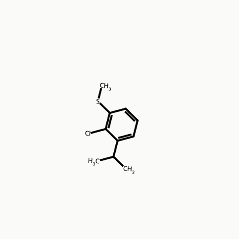 CSc1cccc([C](C)C)c1Cl